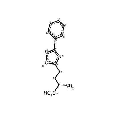 CC(CCc1nc(-c2ccccc2)no1)C(=O)O